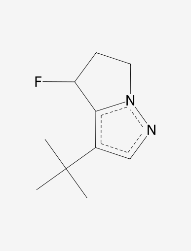 CC(C)(C)c1cnn2c1C(F)CC2